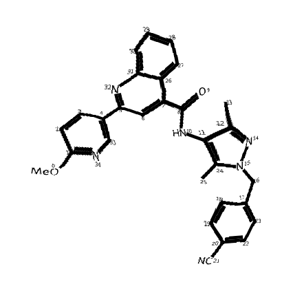 COc1ccc(-c2cc(C(=O)Nc3c(C)nn(Cc4ccc(C#N)cc4)c3C)c3ccccc3n2)cn1